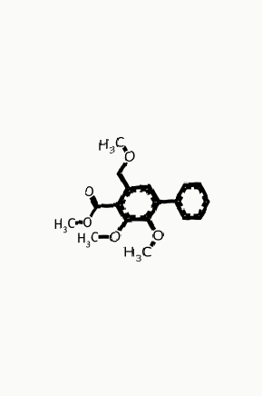 COCc1cc(-c2ccccc2)c(OC)c(OC)c1C(=O)OC